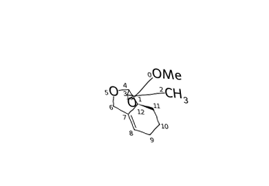 COC1(C)CC2OCC3=CCCC[C@]32O1